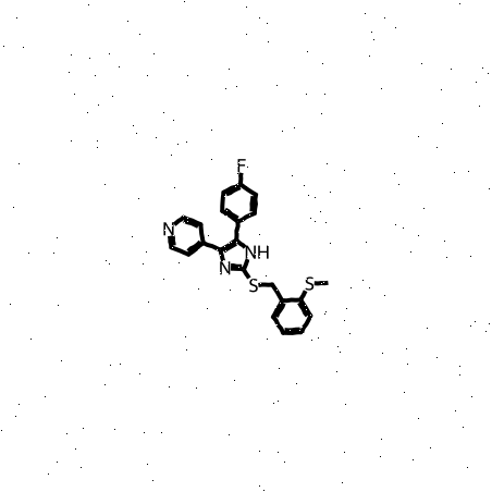 CSc1ccccc1CSc1nc(-c2ccncc2)c(-c2ccc(F)cc2)[nH]1